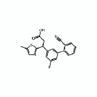 Cc1cnc(C(CC(=O)O)c2cc(F)cc(-c3ccccc3C#N)c2)s1